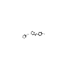 COc1ccc(-c2[nH]c3ccc(OCc4ccccc4)cc3c2C)cc1